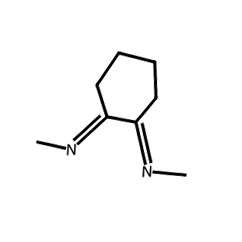 CN=C1CCCCC1=NC